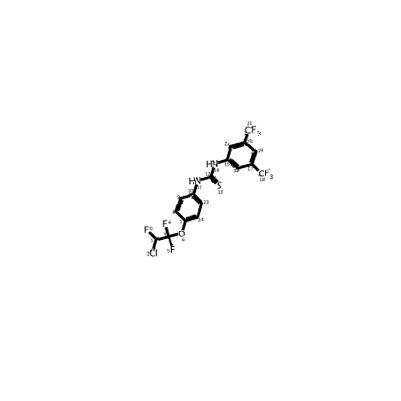 FC(Cl)C(F)(F)Oc1ccc(NC(=S)Nc2cc(C(F)(F)F)cc(C(F)(F)F)c2)cc1